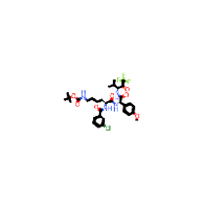 COc1ccc([C@H](NC(=O)[C@H](CCCCNC(=O)OC(C)(C)C)NC(=O)c2cccc(Cl)c2)C(=O)N[C@H](C(=O)C(F)(F)F)C(C)C)cc1